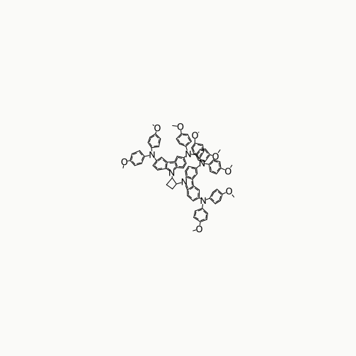 COc1ccc(N(c2ccc(OC)cc2)c2ccc3c(c2)c2cc(N(c4ccc(OC)cc4)c4ccc(OC)cc4)ccc2n3C2CCC2n2c3ccc(N(c4ccc(OC)cc4)c4ccc(OC)cc4)cc3c3cc(N(c4ccc(OC)cc4)c4ccc(OC)cc4)ccc32)cc1